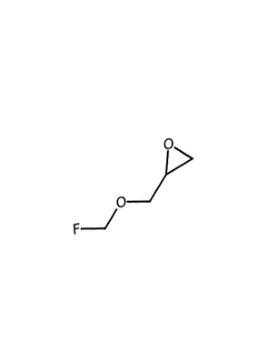 FCOCC1CO1